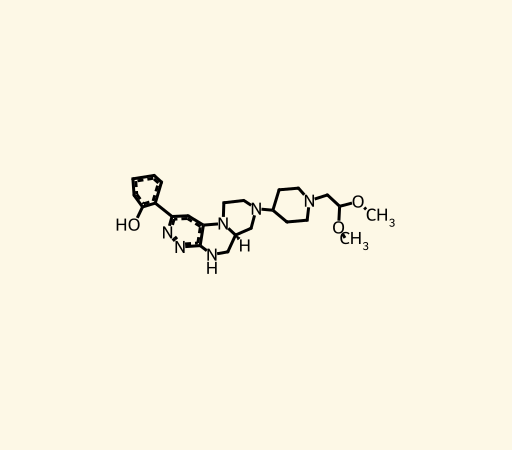 COC(CN1CCC(N2CCN3c4cc(-c5ccccc5O)nnc4NC[C@H]3C2)CC1)OC